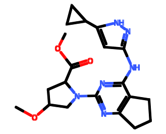 COC(=O)C1CC(OC)CN1c1nc2c(c(Nc3cc(C4CC4)[nH]n3)n1)CCC2